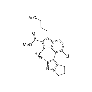 CCc1nn2c(c1-c1c(Cl)ccc3c(CCCOC(C)=O)c(C(=O)OC)n(C)c13)CCC2